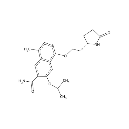 Cc1cnc(OCC[C@@H]2CCC(=O)N2)c2cc(OC(C)C)c(C(N)=O)cc12